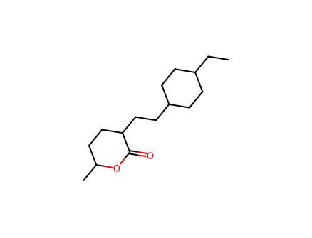 CCC1CCC(CCC2CCC(C)OC2=O)CC1